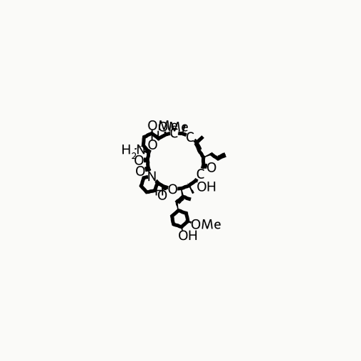 C=CC[C@@H]1/C=C(\C)C[C@H](C)C[C@H](OC)[C@H]2OC(N)(C(=O)C(=O)N3CCCC[C@H]3C(=O)O[C@H](/C(C)=C/[C@@H]3CC[C@@H](O)[C@H](OC)C3)[C@H](C)[C@@H](O)CC1=O)[C@H](C)C[C@@H]2OC